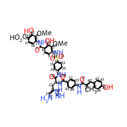 COc1c(NC(=O)c2ccc(NS(=O)(=O)c3ccc(NC(=O)[C@H](C/C(=C/N)N=N)NC(=O)c4ccc(NC(=O)/C(C)=C/c5ccc(O)cc5)cc4)cc3)c(OC)c2O)ccc(C(=O)O)c1O